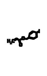 C=CC(=O)OCc1ccc(I)cc1